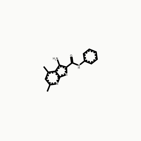 Cc1cc(C)c2c(N)c(C(=O)Nc3ccccc3)sc2n1